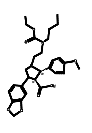 CCCCN(CCN1CC(c2ccc3c(c2)OCO3)[C@H](C(=O)O)[C@H]1c1ccc(OC)cc1)C(=O)OCC